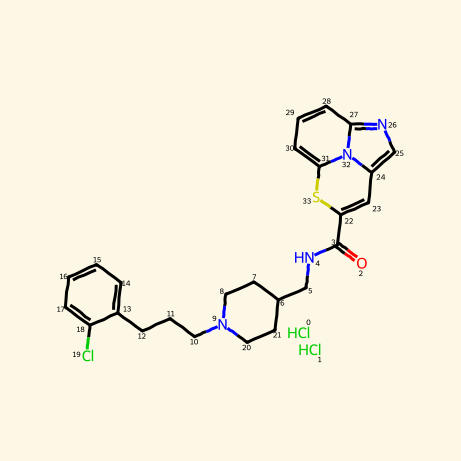 Cl.Cl.O=C(NCC1CCN(CCCc2ccccc2Cl)CC1)C1=Cc2cnc3cccc(n23)S1